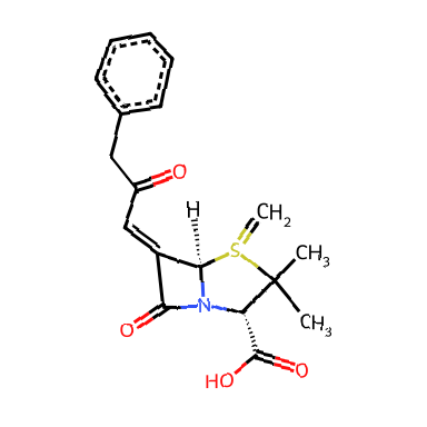 C=S1[C@@H]2C(=CC(=O)Cc3ccccc3)C(=O)N2[C@@H](C(=O)O)C1(C)C